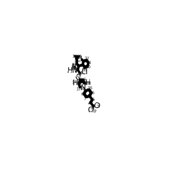 COC(=O)CCc1ccc(N2C[C@@H]3C[C@H]2C[C@H]3OCc2[nH]nc(C3CC3)c2-c2c(Cl)cccc2Cl)cc1